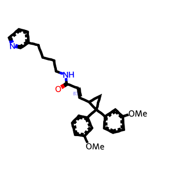 COc1cccc(C2(c3cccc(OC)c3)CC2/C=C/C(=O)NCCCCc2cccnc2)c1